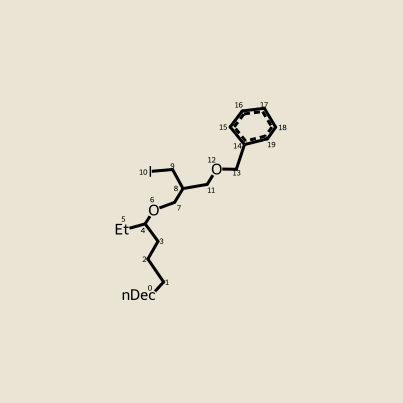 CCCCCCCCCCCCCC(CC)OCC(CI)COCc1ccccc1